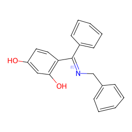 Oc1ccc(/C(=N/Cc2ccccc2)c2ccccc2)c(O)c1